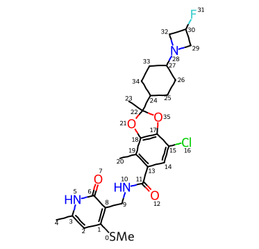 CSc1cc(C)[nH]c(=O)c1CNC(=O)c1cc(Cl)c2c(c1C)OC(C)(C1CCC(N3CC(F)C3)CC1)O2